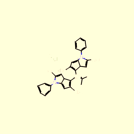 C[C](C)=[Zr+2]([C]1=C(C(C)(C)C)C=C2C1C=C(C(C)(C)C)N2c1ccccc1)[C]1=C(C(C)(C)C)C=C2C1C=C(C(C)(C)C)N2c1ccccc1.[Cl-].[Cl-]